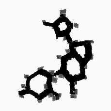 Cc1cc(-n2ncc3cc(Cl)c([C@H]4CCN(C)C[C@H]4F)cc32)sn1